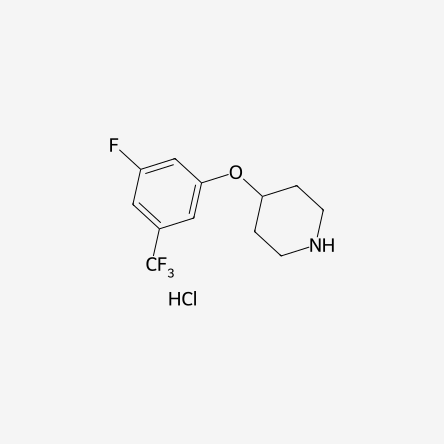 Cl.Fc1cc(OC2CCNCC2)cc(C(F)(F)F)c1